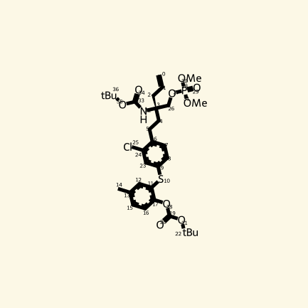 C=CC[C@](CCc1ccc(Sc2cc(C)ccc2OC(=O)OC(C)(C)C)cc1Cl)(COP(=O)(OC)OC)NC(=O)OC(C)(C)C